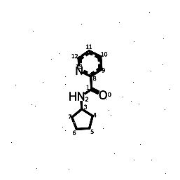 O=C(NC1CCCC1)c1ccccn1